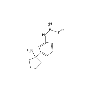 CCSC(=N)Nc1cccc(C2(N)CCCC2)c1